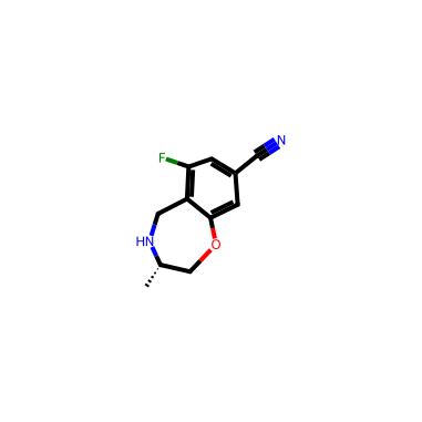 C[C@H]1COc2cc(C#N)cc(F)c2CN1